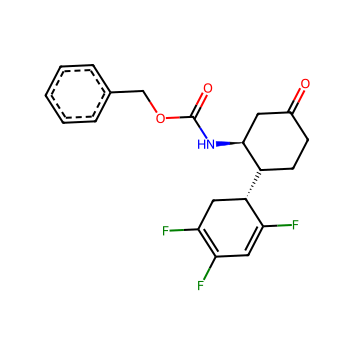 O=C1CCC([C@H]2CC(F)=C(F)C=C2F)[C@@H](NC(=O)OCc2ccccc2)C1